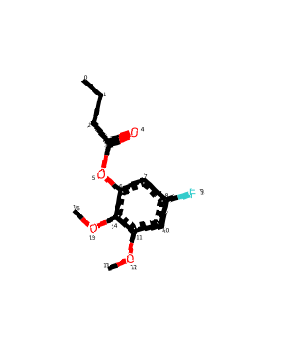 CCCC(=O)Oc1cc(F)cc(OC)c1OC